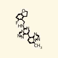 Cc1ccc(-c2cnc(NCc3c(F)ccc4c3CCO4)n3cnnc23)c2ncnn12